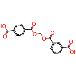 O=C(O)c1ccc(C(=O)OCOC(=O)c2cccc(C(=O)O)c2)cc1